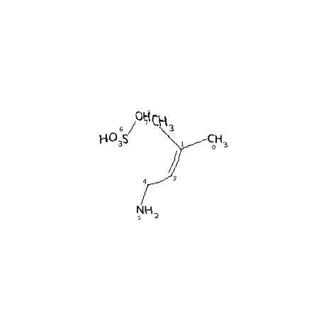 CC(C)=CCN.O=S(=O)(O)O